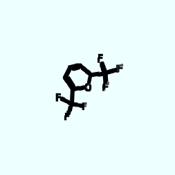 FC(F)(F)C1=CC=CC(C(F)(F)F)O1